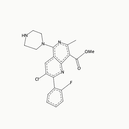 COC(=O)c1c(C)nc(N2CCNCC2)c2cc(Cl)c(-c3ccccc3F)nc12